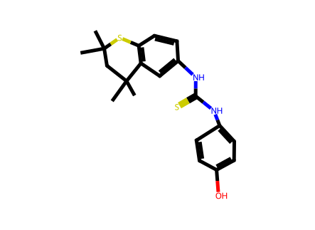 CC1(C)CC(C)(C)c2cc(NC(=S)Nc3ccc(O)cc3)ccc2S1